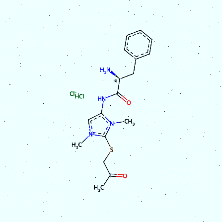 CC(=O)CSc1n(C)c(NC(=O)[C@@H](N)Cc2ccccc2)c[n+]1C.Cl.[Cl-]